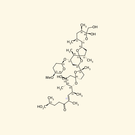 CO[C@H]1CC[C@@H](O[C@H]2C[C@H]([C@]3(C)CC[C@]4(C[C@H](O)[C@@H](C)[C@@H]([C@@H](C)/C=C(\C)C(=O)CC[C@H](C)C(=O)O)O4)O3)O[C@]3(O[C@@H]([C@H]4O[C@@](O)(CO)[C@H](C)C[C@@H]4C)C[C@@H]3C)[C@@H]2C)O[C@@H]1C